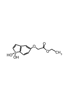 CCOC(=O)COc1ccc2c(c1)C=CS2(O)O